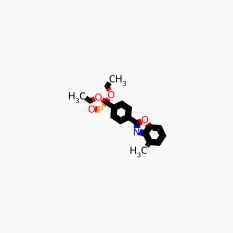 CCOC(OCC)(P=O)c1ccc(-c2nc3c(C)cccc3o2)cc1